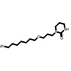 CC(C)CCCCCCCOCCCN1CCCNC1=O